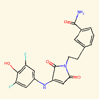 NC(=O)c1cccc(CCN2C(=O)C=C(Nc3cc(F)c(O)c(F)c3)C2=O)c1